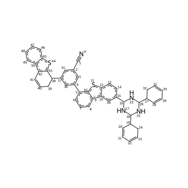 N#Cc1cc(-c2cccc3c2sc2ccc(C4NC(C5C=CC=CC5)NC(C5C=CC=CC5)N4)cc23)cc(C2CC=Cc3c2sc2ccccc32)c1